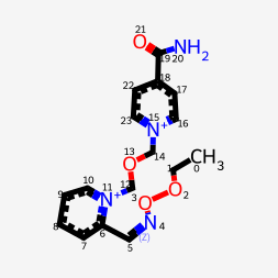 CCOO/N=C\c1cccc[n+]1COC[n+]1ccc(C(N)=O)cc1